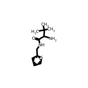 CC(C)(C)C(N)C(=O)NCc1cccs1